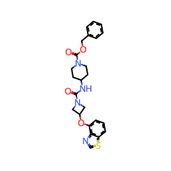 O=C(NC1CCN(C(=O)OCc2ccccc2)CC1)N1CC(Oc2cccc3scnc23)C1